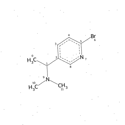 CC(c1ccc(Br)nc1)N(C)C